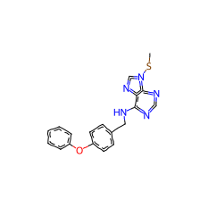 CSn1cnc2c(NCc3ccc(Oc4ccccc4)cc3)ncnc21